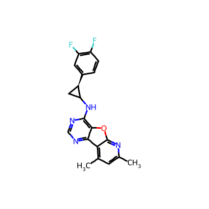 Cc1cc(C)c2c(n1)oc1c(NC3C[C@H]3c3ccc(F)c(F)c3)ncnc12